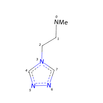 CNCCn1[c]nnc1